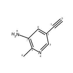 C#Cc1cnc(C)c(N)c1